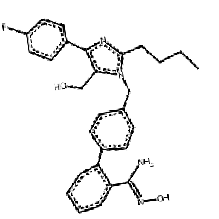 CCCCc1nc(-c2ccc(F)cc2)c(CO)n1Cc1ccc(-c2ccccc2/C(N)=N/O)cc1